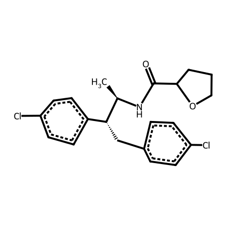 C[C@@H](NC(=O)C1CCCO1)[C@H](Cc1ccc(Cl)cc1)c1ccc(Cl)cc1